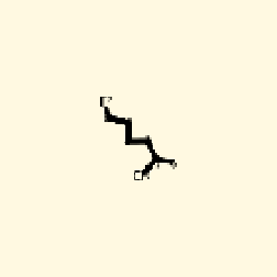 CC(Cl)CCCCF